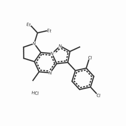 CCC(CC)N1CCc2c(C)nc3c(-c4ccc(Cl)cc4Cl)c(C)nn3c21.Cl